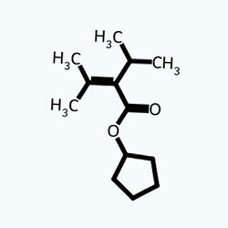 CC(C)=C(C(=O)OC1CCCC1)C(C)C